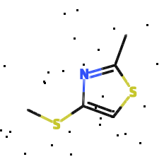 CSc1csc(C)n1